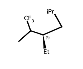 CC[C@H](CC(C)C)C(C)C(F)(F)F